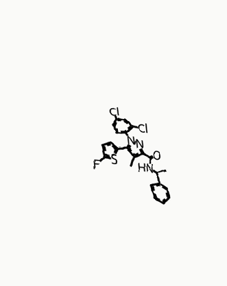 Cc1c(C(=O)N[C@@H](C)c2ccccc2)nn(-c2ccc(Cl)cc2Cl)c1-c1ccc(F)s1